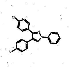 Clc1ccc(-c2nn(-c3ccccc3)cc2-c2ccc(Br)cc2)cc1